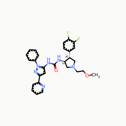 COCCN1C[C@@H](NC(=O)Nc2cc(-c3ccccn3)nn2-c2ccccc2)[C@H](c2ccc(F)c(F)c2)C1